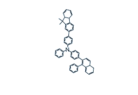 CC1(C)c2cc(-c3ccc(N(c4ccccc4)c4ccc(C5=C(c6ccccc6)C6=CC=CCC6C=C5)cc4)cc3)ccc2C2C=CC=CC21